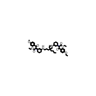 CCCCC(CC)(CCCNC1=C/C(=C(/C(=O)OCC)C(=O)c2ccc(OC)cc2)CCC1)CNC1=C/C(=C(/C(=O)OCC)C(=O)c2ccc(OCC)cc2)CCC1